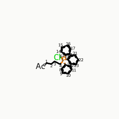 CC(=O)CCCCP(Cl)(c1ccccc1)(c1ccccc1)c1ccccc1